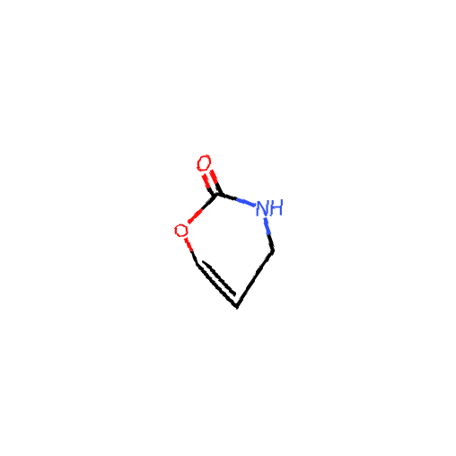 O=C1NCC=CO1